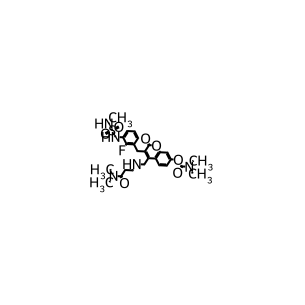 CNS(=O)(=O)Nc1cccc(Cc2c(CNCCC(=O)N(C)C)c3ccc(OC(=O)N(C)C)cc3oc2=O)c1F